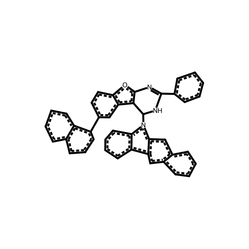 c1ccc(C2=Nc3oc4ccc(-c5cccc6ccccc56)cc4c3C(n3c4ccccc4c4cc5ccccc5cc43)N2)cc1